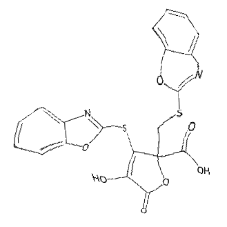 O=C1OC(CSc2nc3ccccc3o2)(C(=O)O)C(Sc2nc3ccccc3o2)=C1O